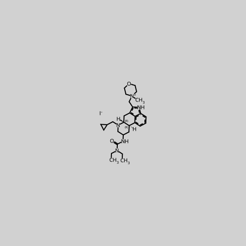 CCN(CC)C(=O)NC1C[C@@H]2c3cccc4[nH]c(C[N+]5(C)CCOCC5)c(c34)C[C@H]2N(CC2CC2)C1.[I-]